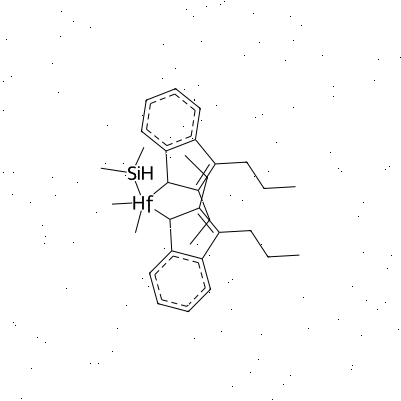 CCCC1=C(CC)[CH]([Hf]([CH3])([CH3])([CH]2C(CC)=C(CCC)c3ccccc32)[SiH](C)C)c2ccccc21